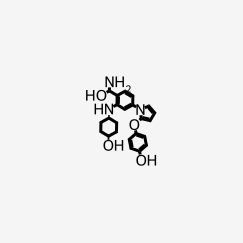 NC(O)c1ccc(-n2cccc2Oc2ccc(O)cc2)cc1N[C@H]1CC[C@H](O)CC1